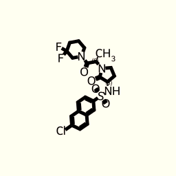 C[C@@H](C(=O)N1CCCC(F)(F)C1)N1CC[C@H](NS(=O)(=O)c2ccc3cc(Cl)ccc3c2)C1=O